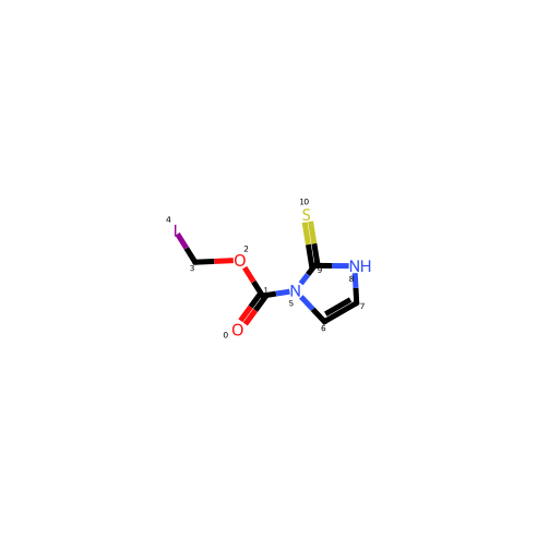 O=C(OCI)n1cc[nH]c1=S